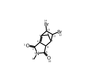 CN1C(=O)C2=C3CC(C2C1=O)C(Br)C3Br